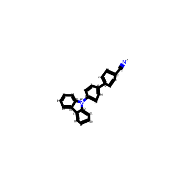 N#Cc1ccc(-c2ccc(-n3c4ccccc4c4ccccc43)cc2)cc1